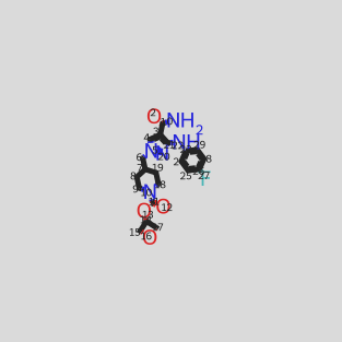 NC(=O)c1cn(CC2CCN(C(=O)OC3COC3)CC2)nc1Nc1ccc(F)cc1